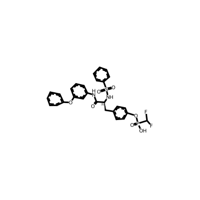 O=C(Nc1cccc(Oc2ccccc2)c1)[C@H](Cc1ccc(OP(=O)(O)C(F)F)cc1)NS(=O)(=O)c1ccccc1